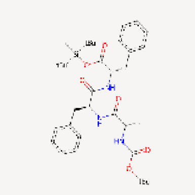 C[C@H](NC(=O)OC(C)(C)C)C(=O)N[C@@H](Cc1ccccc1)C(=O)N[C@@H](Cc1ccccc1)C(=O)O[Si](C)(C(C)(C)C)C(C)(C)C